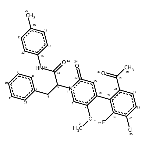 COc1cn(C(Cc2ccccc2)C(=O)Nc2ccc(C)cc2)c(=O)cc1-c1c(C(C)=O)ccc(Cl)c1F